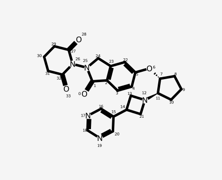 O=C1c2ccc(O[C@@H]3CCC[C@H]3N3CC(c4cncnc4)C3)cc2CN1N1C(=O)CCCC1=O